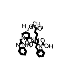 CN(C)C(=O)/C=C/CCC(Cc1ccccc1)(NC(=O)O)C(=O)Nc1cccn(Cc2nc3ccccc3[nH]2)c1=O